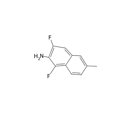 Cc1ccc2c(F)c(N)c(F)cc2c1